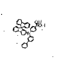 OB(O)c1ccc(N(c2cccc(-c3ccccc3)c2)c2ccc3c(c2)C2(c4ccccc4-c4ccccc42)c2ccccc2-3)cc1